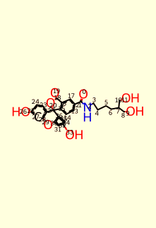 O=C(NCCCCC(CO)CO)c1ccc2c(c1)C(=O)OC21c2ccc(O)cc2Oc2cc(O)ccc21